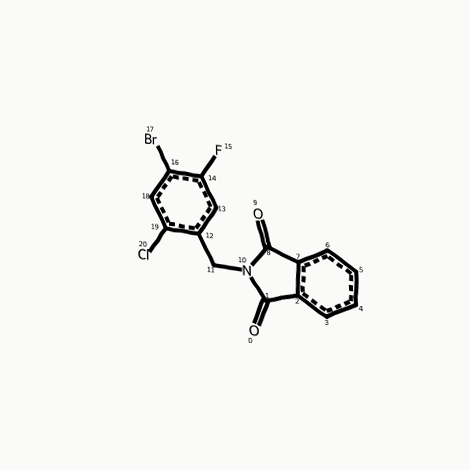 O=C1c2ccccc2C(=O)N1Cc1cc(F)c(Br)cc1Cl